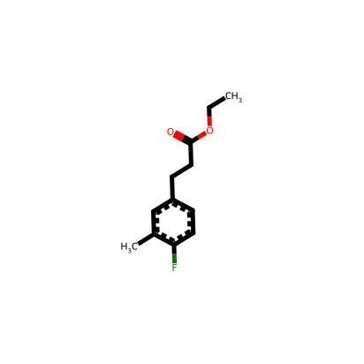 CCOC(=O)CCc1ccc(F)c(C)c1